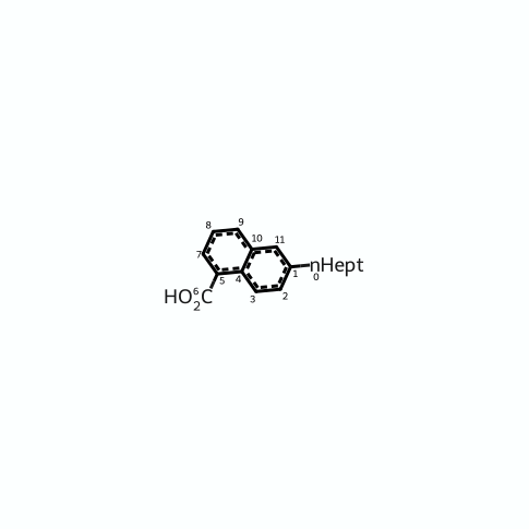 CCCCCCCc1ccc2c(C(=O)O)cccc2c1